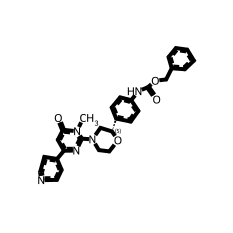 Cn1c(N2CCO[C@@H](c3ccc(NC(=O)OCc4ccccc4)cc3)C2)nc(-c2ccncc2)cc1=O